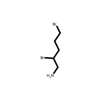 NCC(Br)CCCBr